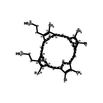 CCC1=C(C)c2cc3[nH]c(cc4nc(cc5[nH]c(cc1n2)c(C)c5CCC(=O)O)C(CCC(=O)O)=C4C)c(C)c3CC